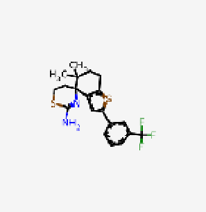 CC1(C)CCc2sc(-c3cccc(C(F)(F)F)c3)cc2C12CCSC(N)=N2